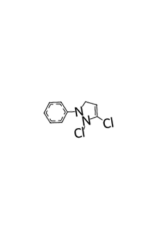 ClC1=CCN(c2ccccc2)N1Cl